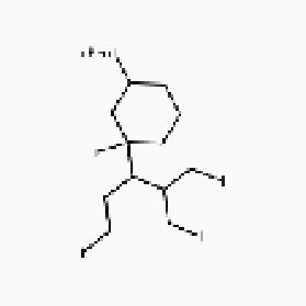 CCCCCC1CCCC(I)(C(CCI)C(CI)CI)C1